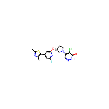 Cc1nc(C)c(-c2cc(F)nc(O[C@@H]3CCN(c4cn[nH]c(=O)c4Cl)C3)c2)s1